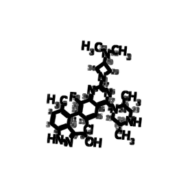 Cc1ccc2[nH]nc(CO)c2c1-c1c(Cl)cc2c(N3C[C@@H](C)NC[C@@H]3C)nc(N3CC(N(C)C)C3)nc2c1F